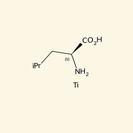 CC(C)C[C@H](N)C(=O)O.[Ti]